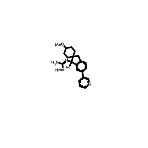 CN/C(N)=N\C1(C(C)=O)c2cc(-c3cccnc3)ccc2CC12CCC(OC)CC2